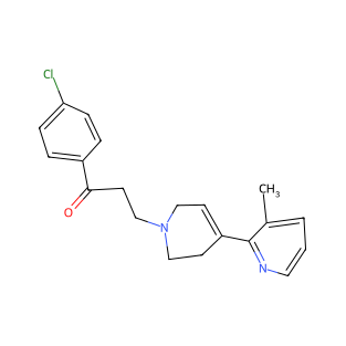 Cc1cccnc1C1=CCN(CCC(=O)c2ccc(Cl)cc2)CC1